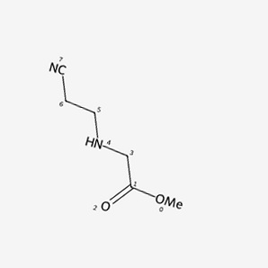 COC(=O)CNCCC#N